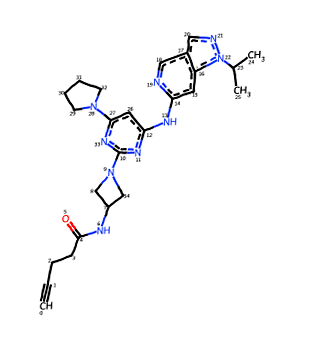 C#CCCC(=O)NC1CN(c2nc(Nc3cc4c(cn3)cnn4C(C)C)cc(N3CCCC3)n2)C1